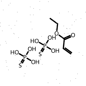 C=CC(=O)OCC.OP(O)(O)=S.OP(O)(O)=S